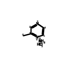 Cc1cnccn1.Cl.N